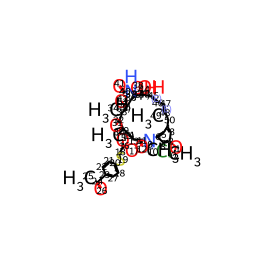 COc1cc2cc(c1Cl)N(C)C(=O)C[C@H](OC(=O)CSc1ccc(C(C)=O)cc1)C1(C)OC1C(C)[C@@H]1C[C@@](O)(NC(=O)O1)[C@H](O)/C=C/C=C(\C)C2